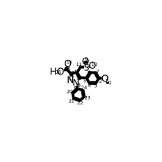 COc1ccc2c(c1)S(=O)(=O)Cc1c(C(=O)O)nn(-c3ccccc3)c1-2